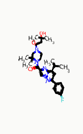 CC(C)c1cc(-c2ccc(F)cc2)nn2cc(C(=O)N3CCN(C(=O)CC(C)(C)O)CC3(C)C)nc12